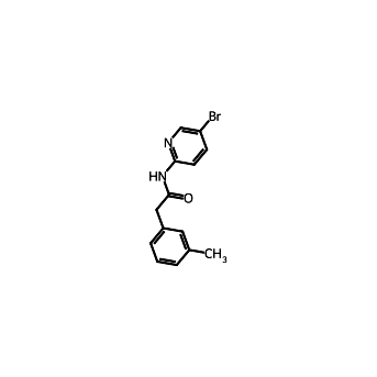 Cc1cccc(CC(=O)Nc2ccc(Br)cn2)c1